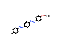 CCCCOc1ccc(N=Nc2ccc(N=Nc3ccc(C)cc3)cc2)cc1